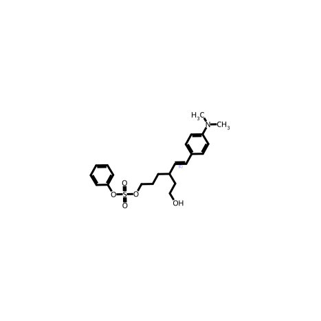 CN(C)c1ccc(/C=C/C(CCO)CCCOS(=O)(=O)Oc2ccccc2)cc1